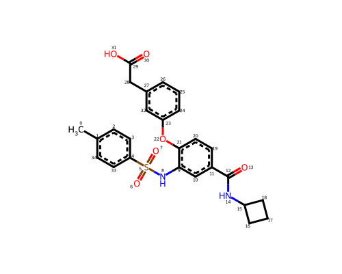 Cc1ccc(S(=O)(=O)Nc2cc(C(=O)NC3CCC3)ccc2Oc2cccc(CC(=O)O)c2)cc1